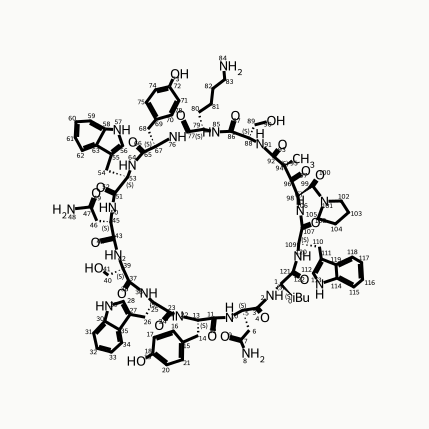 CC[C@H](C)[C@@H]1NC(=O)[C@H](CC(N)=O)NC(=O)[C@H](Cc2ccc(O)cc2)NC(=O)[C@H](Cc2c[nH]c3ccccc23)NC(=O)[C@H](CO)NC(=O)[C@H](CC(N)=O)NC(=O)[C@H](Cc2c[nH]c3ccccc23)NC(=O)[C@H](Cc2ccc(O)cc2)NC(=O)[C@H](CCCCN)NC(=O)[C@H](CO)NC(=O)[C@@H](C)C(=O)[C@@H](C(=O)N2CCCC2)NC(=O)[C@H](Cc2c[nH]c3ccccc23)NC1=O